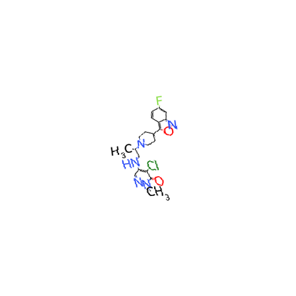 CC(CNc1cnn(C)c(=O)c1Cl)N1CCC(c2onc3cc(F)ccc23)CC1